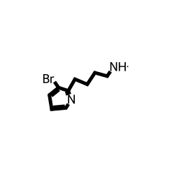 [NH]CCCCc1ncccc1Br